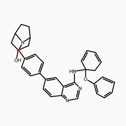 OC1CC2CCC(C1)N2Cc1ccc(-c2ccc3ncnc(NC4(Oc5ccccc5)C=CC=CC4)c3c2)cc1